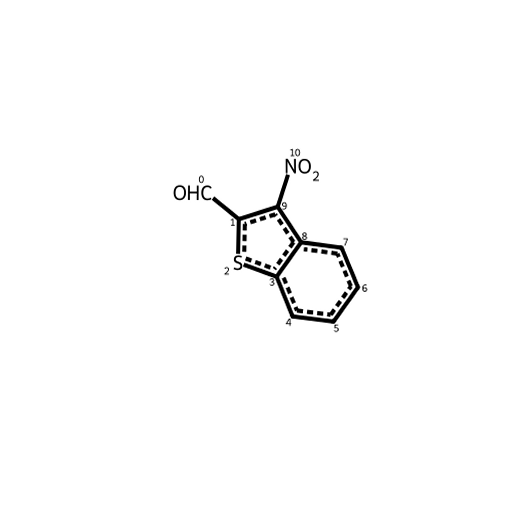 O=Cc1sc2ccccc2c1[N+](=O)[O-]